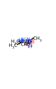 CCCCc1c(C)nc2nc(Sc3nc4c(c(=O)[nH]c(=O)n4CCCC)n3CC)nn2c1C